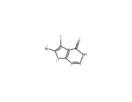 O=c1[nH]cnc2sc(Br)c(I)c12